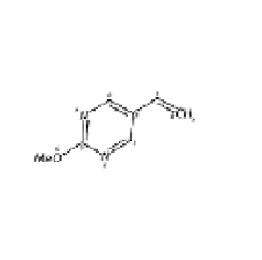 C=Cc1cnc(OC)nc1